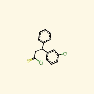 S=C(Cl)CC(c1ccccc1)c1cccc(Cl)c1